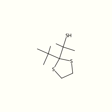 CC(C)(C)C1(C(C)(C)S)SCCS1